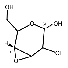 OCC1O[C@H](O)C(O)C2O[C@H]12